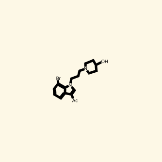 CC(=O)c1cn(CCCN2CCC(O)CC2)c2c(Br)cccc12